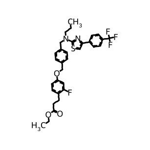 CCCN(Cc1ccc(COc2ccc(CCC(=O)OCC)c(F)c2)cc1)c1nc(-c2ccc(C(F)(F)F)cc2)cs1